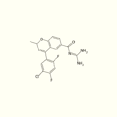 CC1C=C(c2cc(Cl)c(F)cc2F)c2cc(C(=O)N=C(N)N)ccc2O1